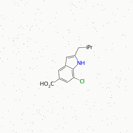 CC(C)Cc1cc2cc(C(=O)O)cc(Cl)c2[nH]1